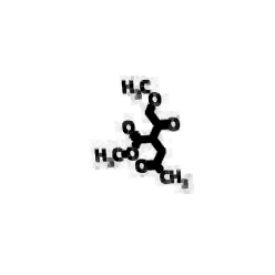 COCC(=O)C(CC(C)=O)C(=O)OC